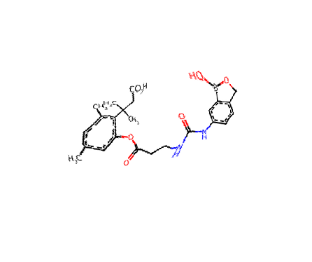 Cc1cc(C)c(C(C)(C)CC(=O)O)c(OC(=O)CCNC(=O)Nc2ccc3c(c2)B(O)OC3)c1